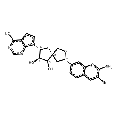 Cc1ncnc2c1ccn2[C@@H]1C[C@@]2(CO[C@H](c3ccc4cc(Br)c(N)nc4c3)C2)[C@@H](O)[C@H]1O